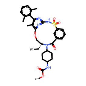 Cc1cccc(C)c1-c1nc2nc(c1C)OC[C@@H](CC(C)C)N(C1CCC(NC(=O)OC(C)C)CC1)C(=O)c1cccc(c1)S(=O)(=O)N2